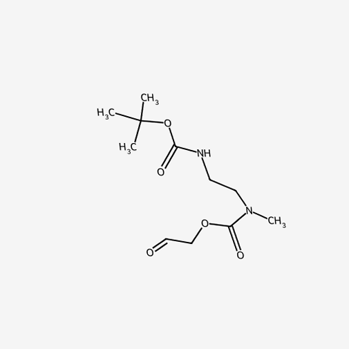 CN(CCNC(=O)OC(C)(C)C)C(=O)OCC=O